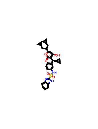 O=c1oc(C(CC2CC2)CC2CC2)cc(O)c1C(c1cccc(NS(=O)(=O)c2nc3ccccc3[nH]2)c1)C1CC1